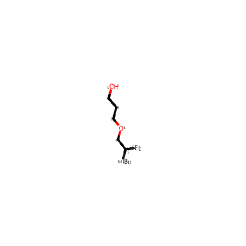 CCCCC(CC)COCC[CH]O